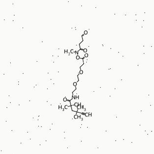 C#CC(C)(C)CC(C)(C)C(=O)NCCOCCOCCC(=O)ON(C)C(=O)CCC=O